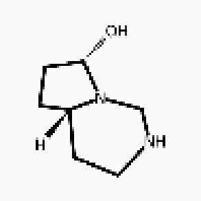 O[C@H]1CC[C@H]2CCNCN21